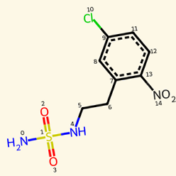 NS(=O)(=O)NCCc1cc(Cl)ccc1[N+](=O)[O-]